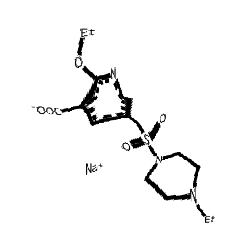 CCOc1ncc(S(=O)(=O)N2CCN(CC)CC2)cc1C(=O)[O-].[Na+]